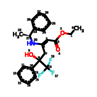 CCOC(=O)/C=C(\C[C@@](O)(c1ccccc1)C(F)(F)F)N[C@H](C)c1ccccc1